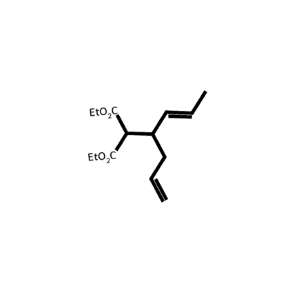 C=CCC(/C=C/C)C(C(=O)OCC)C(=O)OCC